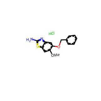 COc1cc2sc(N)nc2cc1OCc1ccccc1.Cl